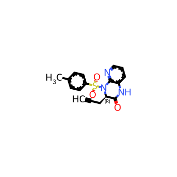 C#CC[C@@H]1C(=O)Nc2cccnc2N1S(=O)(=O)c1ccc(C)cc1